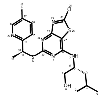 CC(C)C[C@H](CO)Nc1nc(S[C@@H](C)c2ccc(F)cn2)nc2nc(Cl)sc12